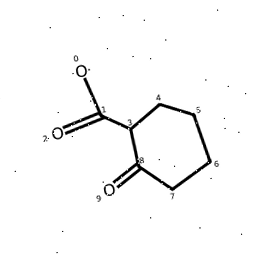 [O]C(=O)C1CCCCC1=O